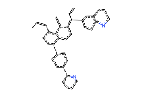 C=C/C(c1ccc2ncccc2c1)=c1/ccc2c(-c3ccc(-c4ccccn4)cc3)ccc(/C=C\C)c2c1=C